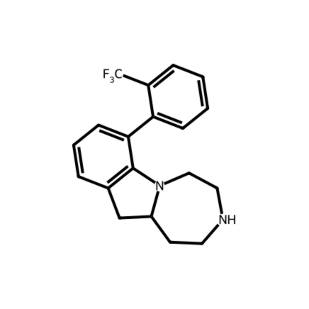 FC(F)(F)c1ccccc1-c1cccc2c1N1CCNCCC1C2